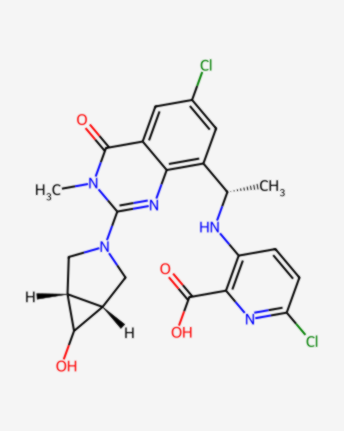 C[C@H](Nc1ccc(Cl)nc1C(=O)O)c1cc(Cl)cc2c(=O)n(C)c(N3C[C@@H]4C(O)[C@@H]4C3)nc12